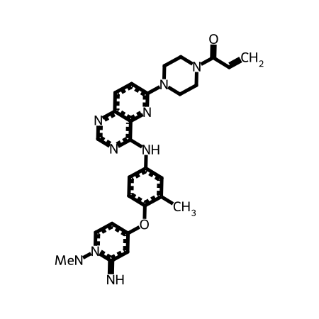 C=CC(=O)N1CCN(c2ccc3ncnc(Nc4ccc(Oc5ccn(NC)c(=N)c5)c(C)c4)c3n2)CC1